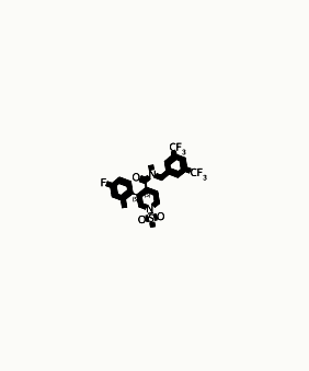 Cc1cc(F)ccc1[C@H]1CN(S(C)(=O)=O)CC[C@@H]1C(=O)N(C)Cc1cc(C(F)(F)F)cc(C(F)(F)F)c1